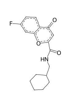 O=C(NCC1CCCCC1)c1cc(=O)c2ccc(F)cc2o1